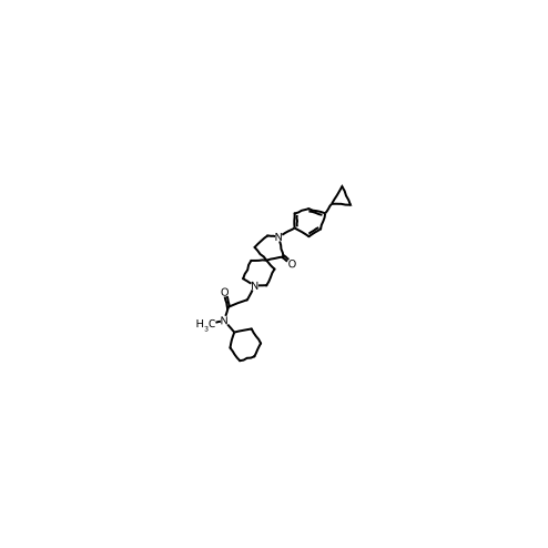 CN(C(=O)CN1CCC2(CC1)CCN(c1ccc(C3CC3)cc1)C2=O)C1CCCCC1